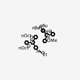 CCCCCCCCOc1ccccc1-c1cc(-c2ccc(N(C)CCOCC)cc2)cc(-c2ccccc2OCCCCCCCC)n1.CCCCN(CCCC)c1ccc(-c2cc(-c3ccccc3OC)nc(-c3ccccc3OC)c2)cc1